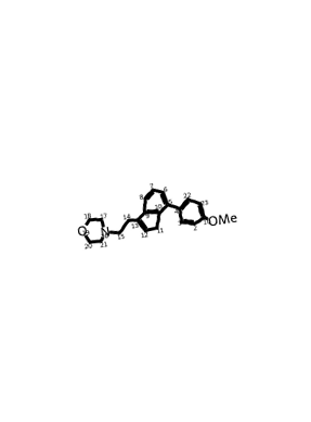 COc1ccc(-c2cccc3c2CC=C3CCN2CCOCC2)cc1